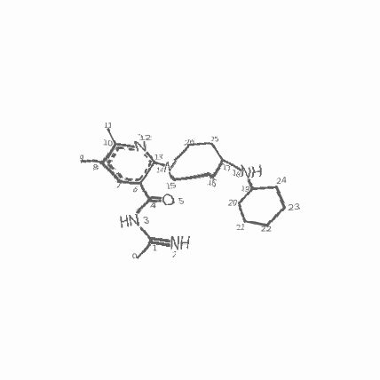 CC(=N)NC(=O)c1cc(C)c(C)nc1N1CCC(NC2CCCCC2)CC1